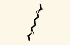 C[C]OCCCCO[C]C